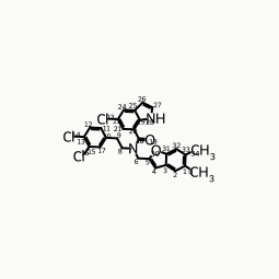 Cc1cc2cc(CN(CCc3ccc(Cl)c(Cl)c3)C(=O)c3cc(Cl)cc4cc[nH]c34)oc2cc1C